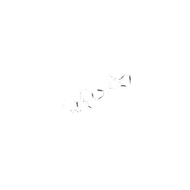 COC(=O)C1c2ccc(OCc3ccccc3[N+](=O)[O-])cc2CCN1C(=O)OCC(C)C